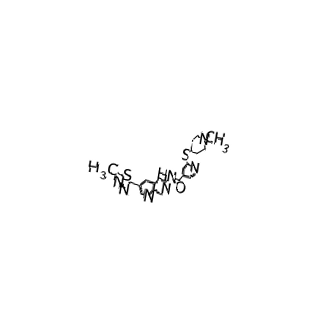 Cc1nnc(-c2cnc3cnc(NC(=O)c4ccnc(SC5CCN(C)CC5)c4)cc3c2)s1